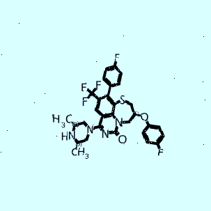 C[C@@H]1CN(c2nc(=O)n3c4c(c(-c5ccc(F)cc5)c(C(F)(F)F)cc24)SC[C@@H](Oc2ccc(F)cc2)C3)C[C@H](C)N1